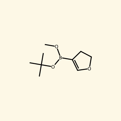 COB(OC(C)(C)C)C1=COCC1